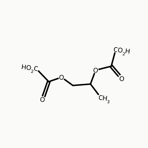 CC(COC(=O)C(=O)O)OC(=O)C(=O)O